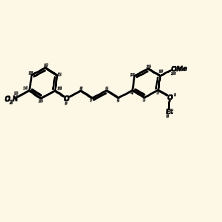 CCOc1cc(CC=CCOc2cccc([N+](=O)[O-])c2)ccc1OC